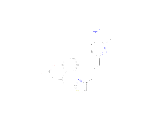 O=C(O)CC(Cc1nc(CCCc2ccc3c(n2)CCCN3)cs1)c1ccccc1